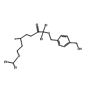 CCC(CC)OCCC(C)CCC(=O)C(CC)(CC)OCc1ccc(CO)cc1